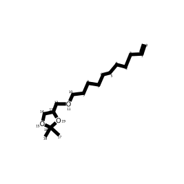 C=CCCCCCCCCCOCC1COC(C)(C)O1